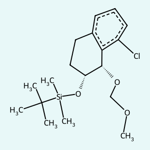 COCO[C@H]1c2c(Cl)cccc2CC[C@H]1O[Si](C)(C)C(C)(C)C